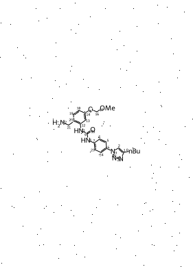 CCCCc1cn(-c2ccc(NC(=O)Nc3cc(OCOC)ccc3CN)cc2)nn1